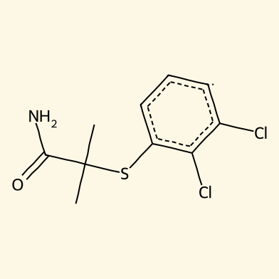 CC(C)(Sc1cc[c]c(Cl)c1Cl)C(N)=O